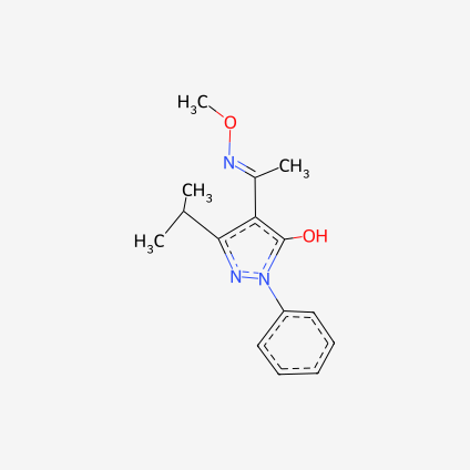 CON=C(C)c1c(C(C)C)nn(-c2ccccc2)c1O